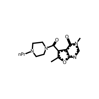 CCCN1CCN(C(=O)c2c(C)oc3ncn(C)c(=O)c23)CC1